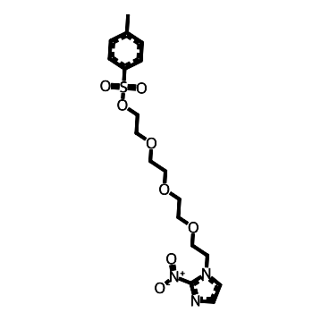 Cc1ccc(S(=O)(=O)OCCOCCOCCOCCn2ccnc2[N+](=O)[O-])cc1